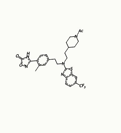 CC(=O)N1CCC(CCN(CCc2ccc(-c3noc(=O)[nH]3)c(C)c2)c2nc3ccc(C(F)(F)F)cc3s2)CC1